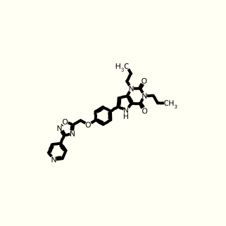 CCCn1c(=O)c2[nH]c(-c3ccc(OCc4nc(-c5ccncc5)no4)cc3)cc2n(CCC)c1=O